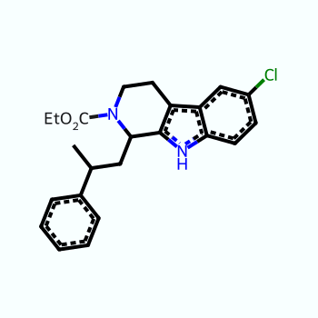 CCOC(=O)N1CCc2c([nH]c3ccc(Cl)cc23)C1CC(C)c1ccccc1